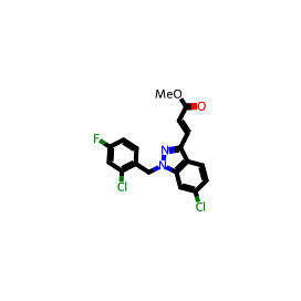 COC(=O)C=Cc1nn(Cc2ccc(F)cc2Cl)c2cc(Cl)ccc12